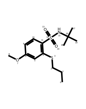 CCCSc1cc(OC)ccc1S(=O)(=O)NC(C)(C)C